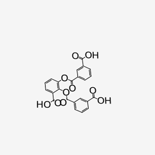 O=C(O)c1cccc(C(=O)Oc2cccc(C(=O)O)c2OC(=O)c2cccc(C(=O)O)c2)c1